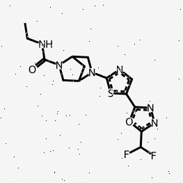 CCNC(=O)N1CC2CC1CN2c1ncc(-c2nnc(C(F)F)o2)s1